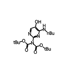 CCCCNc1nc(N(C(=O)OC(C)(C)C)C(=O)OC(C)(C)C)ncc1O